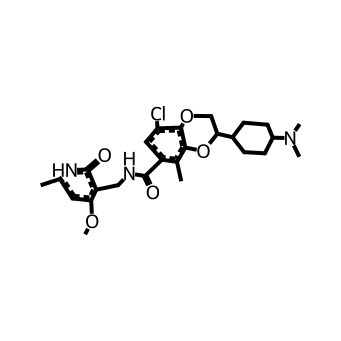 COc1cc(C)[nH]c(=O)c1CNC(=O)c1cc(Cl)c2c(c1C)OC(C1CCC(N(C)C)CC1)CO2